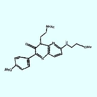 COCCNc1ccc2nc(-c3ccc(OC)cc3)c(=O)n(CCNC(C)=O)c2n1